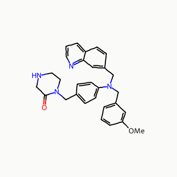 COc1cccc(CN(Cc2ccc3cccnc3c2)c2ccc(CN3CCNCC3=O)cc2)c1